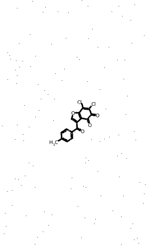 Cc1ccc(C(=O)c2coc3c2C(=O)C(=O)C(Cl)=C3Cl)cc1